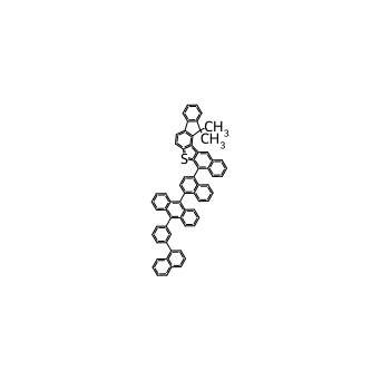 CC1(C)c2ccccc2-c2ccc3sc4c(-c5ccc(-c6c7ccccc7c(-c7cccc(-c8cccc9ccccc89)c7)c7ccccc67)c6ccccc56)c5ccccc5cc4c3c21